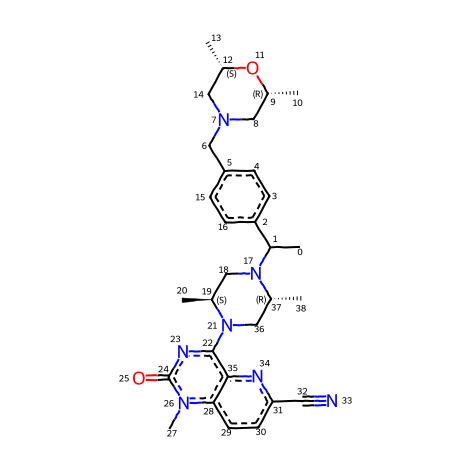 CC(c1ccc(CN2C[C@@H](C)O[C@@H](C)C2)cc1)N1C[C@H](C)N(c2nc(=O)n(C)c3ccc(C#N)nc23)C[C@H]1C